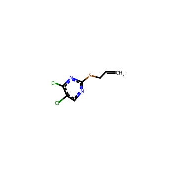 C=CCSc1ncc(Cl)c(Cl)n1